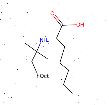 CCCCCCC(=O)O.CCCCCCCCCC(C)(C)N